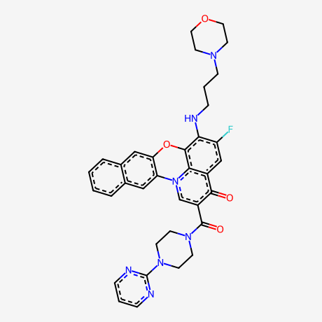 O=C(c1cn2c3c(c(NCCCN4CCOCC4)c(F)cc3c1=O)Oc1cc3ccccc3cc1-2)N1CCN(c2ncccn2)CC1